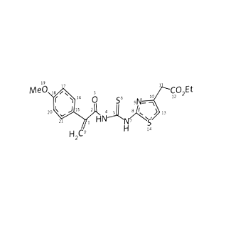 C=C(C(=O)NC(=S)Nc1nc(CC(=O)OCC)cs1)c1ccc(OC)cc1